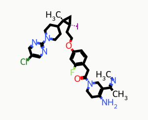 C/N=C(/C)C1=C(N)CCN(C(=O)Cc2ccc(OCC[C@]3(I)C[C@]3(C)C3CCN(c4ncc(Cl)cn4)CC3)cc2F)C1